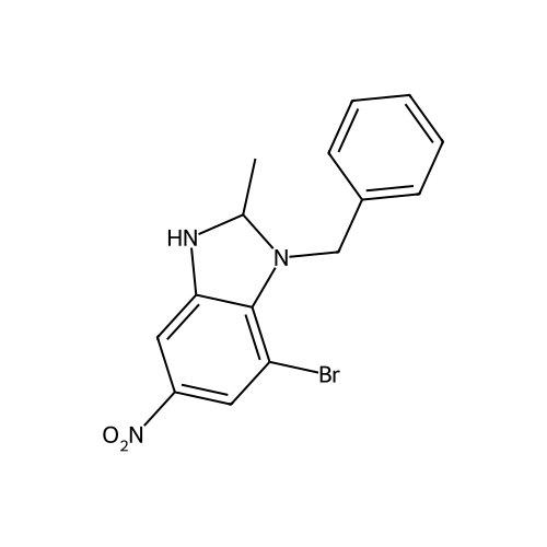 CC1Nc2cc([N+](=O)[O-])cc(Br)c2N1Cc1ccccc1